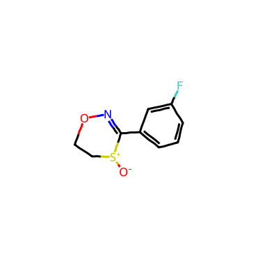 [O-][S+]1CCON=C1c1cccc(F)c1